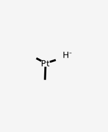 [CH3][Pt]([CH3])[CH3].[H-]